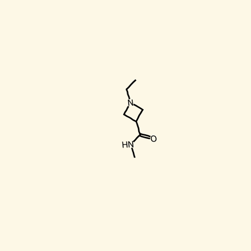 CCN1CC(C(=O)NC)C1